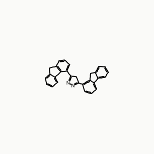 c1ccc2c(c1)Cc1c(C3=NN=C(c4cccc5c4-c4ccccc4C5)C3)cccc1-2